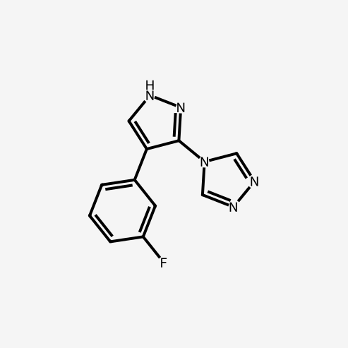 Fc1cccc(-c2c[nH]nc2-n2cnnc2)c1